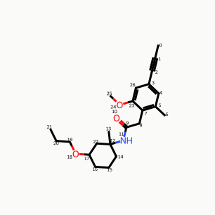 CC#Cc1cc(C)c(CC(=O)NC2(C)CCCC(OCCC)C2)c(OC)c1